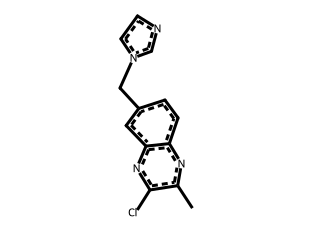 Cc1nc2ccc(Cn3ccnc3)cc2nc1Cl